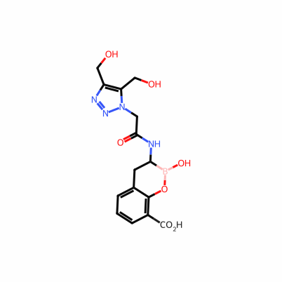 O=C(Cn1nnc(CO)c1CO)NC1Cc2cccc(C(=O)O)c2OB1O